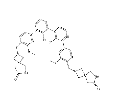 COc1cc(-c2nccc(-c3cccc(-c4ccc(CN5CC6(CNC(=O)C6)C5)c(OC)n4)c3Cl)c2Cl)cnc1CN1CC2(CNC(=O)C2)C1